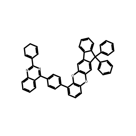 C1=CC(c2nc(-c3ccc(-c4cccc5c4Oc4cc6c(cc4O5)C(c4ccccc4)(c4ccccc4)c4ccccc4-6)cc3)c3ccccc3n2)=CCC1